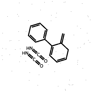 C=C1CC=CC=C1c1ccccc1.N=C=O.N=C=O